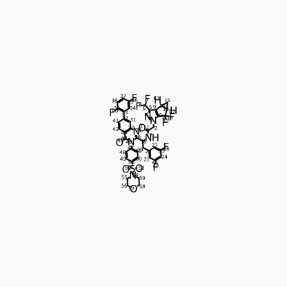 O=C(Cn1nc(C(F)F)c2c1C(F)(F)[C@@H]1C[C@H]21)NC(Cc1cc(F)cc(F)c1)c1nc2cc(-c3cc(F)ccc3F)ccc2c(=O)n1-c1ccc(S(=O)(=O)N2CCOCC2)cc1